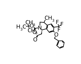 CC1CN(C(=O)OC(C)(C)C)[C@H](CC=O)c2cc(OCc3ccccc3)c(C(F)(F)F)cc21